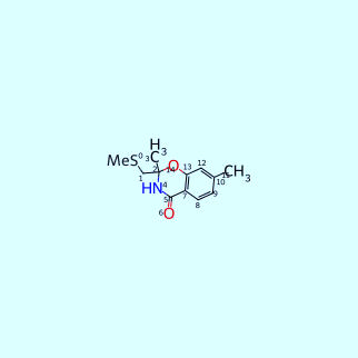 CSCC1(C)NC(=O)c2ccc(C)cc2O1